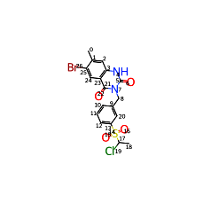 Cc1cc2[nH]c(=O)n(Cc3cccc(S(=O)(=O)C(C)Cl)c3)c(=O)c2cc1Br